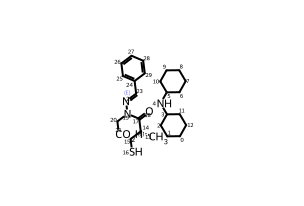 C1CCC(NC2CCCCC2)CC1.C[C@H](CS)C(=O)N(CC(=O)O)/N=C/c1ccccc1